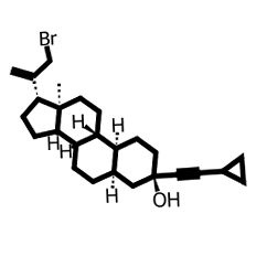 C=C(CBr)[C@H]1CC[C@H]2[C@@H]3CC[C@@H]4C[C@@](O)(C#CC5CC5)CC[C@@H]4[C@H]3CC[C@]12C